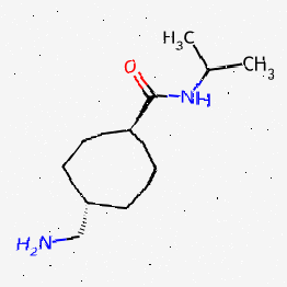 CC(C)NC(=O)[C@H]1CC[C@H](CN)CC1